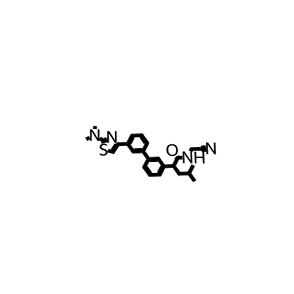 CC(C)CC(C(=O)NCC#N)c1cccc(-c2cccc(-c3csc(N(C)C)n3)c2)c1